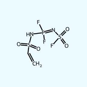 C=CS(=O)(=O)NP(F)(F)=NS(=O)(=O)F